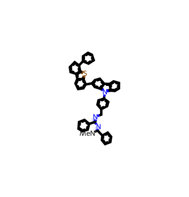 CN/C(=N\C(=N/Cc1ccc(-n2c3ccccc3c3ccc(-c4cccc5c4sc4c(-c6ccccc6)cccc45)cc32)cc1)c1ccccc1)c1ccccc1